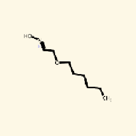 CCCCCCOC/C=N/O